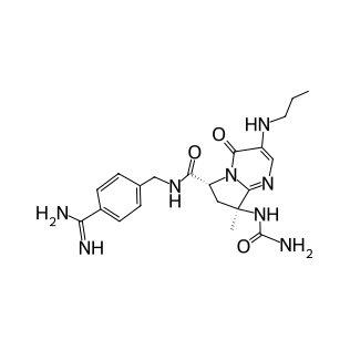 CCCNc1cnc2n(c1=O)[C@@H](C(=O)NCc1ccc(C(=N)N)cc1)C[C@]2(C)NC(N)=O